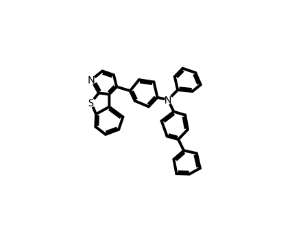 c1ccc(-c2ccc(N(c3ccccc3)c3ccc(-c4ccnc5sc6ccccc6c45)cc3)cc2)cc1